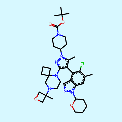 Cc1cc2c(cnn2C2CCCCO2)c(-c2c(N3CCN(C4(C)COC4)CC34CCC4)nn(C3CCN(C(=O)OC(C)(C)C)CC3)c2C)c1Cl